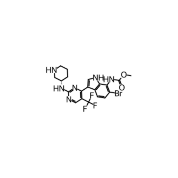 COC(=O)Nc1c(Br)ccc2c(-c3nc(N[C@H]4CCCNC4)ncc3C(F)(F)F)c[nH]c12